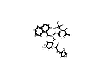 C[C@@H](C(=O)O)N(C(=O)CN(Cc1cccc2ccccc12)C[C@@H]1CCCN1C(=O)Cc1c[nH]cn1)C(F)(F)F.[Na]